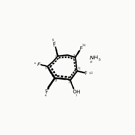 N.Oc1c(F)c(F)c(F)c(F)c1F